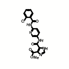 COC(=O)c1nc[nH]c1C(=O)Nc1ccc(NC(=O)c2ccccc2Cl)nc1